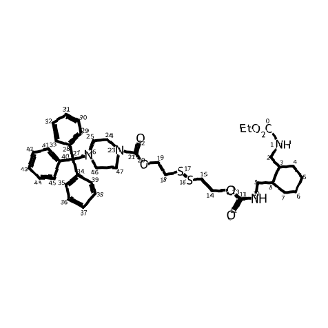 CCOC(=O)NCC1CCCCC1CNC(=O)OCCSSCCOC(=O)N1CCN(C(c2ccccc2)(c2ccccc2)c2ccccc2)CC1